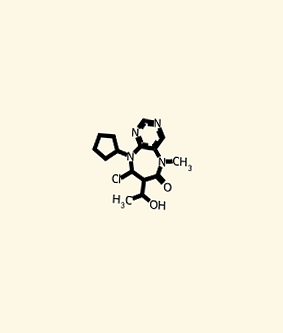 CC(O)C1C(=O)N(C)c2cncnc2N(C2CCCC2)C1Cl